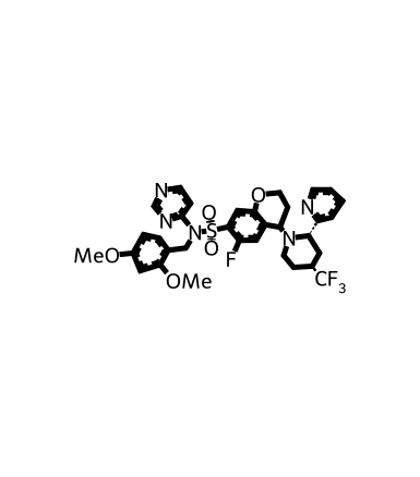 COc1ccc(CN(c2ccncn2)S(=O)(=O)c2cc3c(cc2F)C(N2CC[C@@H](C(F)(F)F)C[C@H]2c2ccccn2)CCO3)c(OC)c1